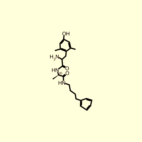 Cc1cc(O)cc(C)c1CC(N)C(=O)N[C@H](C)C(=O)NCCCCc1ccccc1